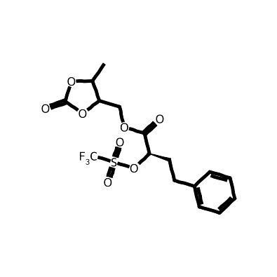 CC1OC(=O)OC1COC(=O)[C@@H](CCc1ccccc1)OS(=O)(=O)C(F)(F)F